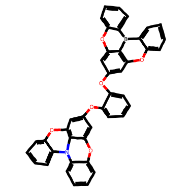 c1ccc(Oc2cc3c4c(c2)Oc2ccccc2N4c2ccccc2O3)c(Oc2cc3c4c(c2)Oc2ccccc2B4c2ccccc2O3)c1